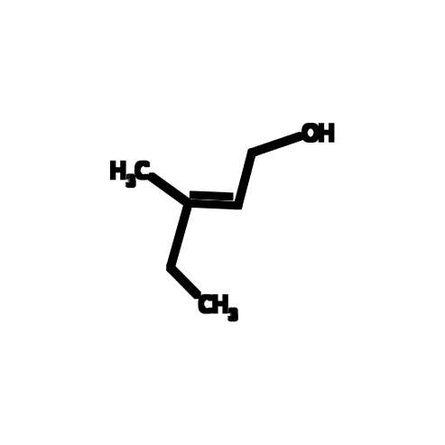 CCC(C)=CCO